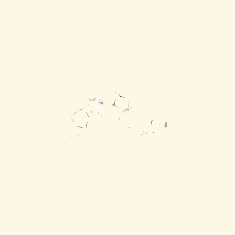 CC(CNS(N)(=O)=O)Oc1nonc1/C(=N/O)Nc1ccc(F)c(Br)c1